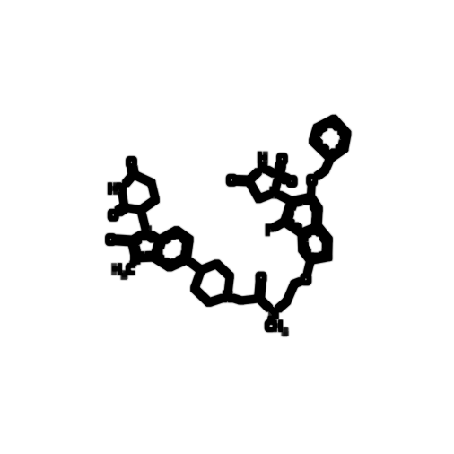 CN(CCOc1ccc2cc(OCc3ccccc3)c(N3CC(=O)NS3(=O)=O)c(F)c2c1)C(=O)CN1CCC(c2ccc3c(c2)n(C)c(=O)n3C2CCC(=O)NC2=O)CC1